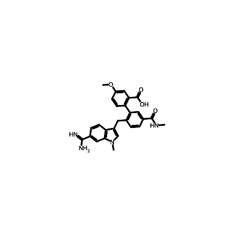 CNC(=O)c1ccc(Cc2cn(C)c3cc(C(=N)N)ccc23)c(-c2ccc(OC)cc2C(=O)O)c1